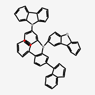 c1ccc(-c2ccc(-c3cccc4ccccc34)cc2N(c2cccc(-n3c4ccccc4c4ccccc43)c2)c2ccc3oc4ccccc4c3c2)cc1